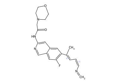 C=N/C=C\C=C(/C)c1cc2cc(NC(=O)CN3CCOCC3)ncc2cc1F